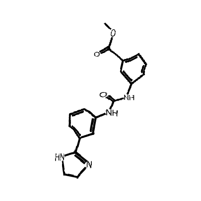 COC(=O)c1cccc(NC(=O)Nc2cccc(C3=NCCN3)c2)c1